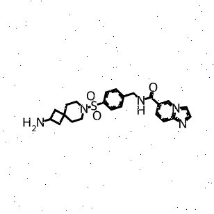 NC1CC2(CCN(S(=O)(=O)c3ccc(CNC(=O)c4ccc5nccn5c4)cc3)CC2)C1